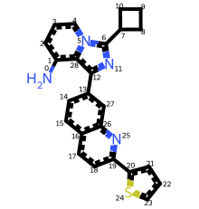 Nc1cccn2c(C3CCC3)nc(-c3ccc4ccc(-c5cccs5)nc4c3)c12